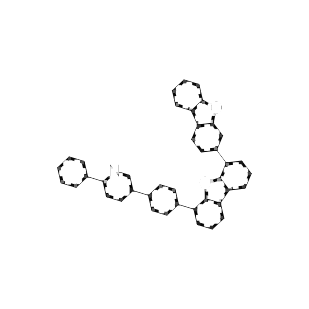 c1ccc(-c2ccc(-c3ccc(-c4cccc5c4oc4c(-c6ccc7c(c6)oc6ccccc67)cccc45)cc3)cn2)cc1